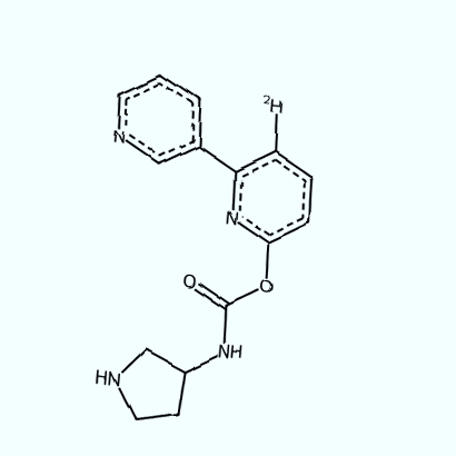 [2H]c1ccc(OC(=O)NC2CCNC2)nc1-c1cccnc1